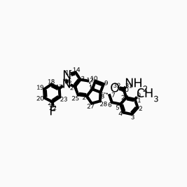 Cc1cccc(CC[C@@]23C=C[C@@]24Cc2cnn(-c5cccc(F)c5)c2C=C4CC3)c1C(N)=O